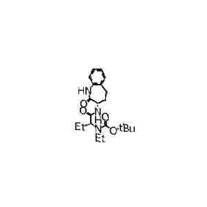 CC[C@@H](C(=O)N[C@H]1CCc2ccccc2NC1=O)N(CC)C(=O)OC(C)(C)C